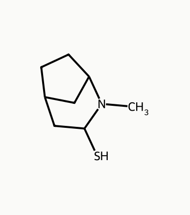 CN1C(S)CC2CCC1C2